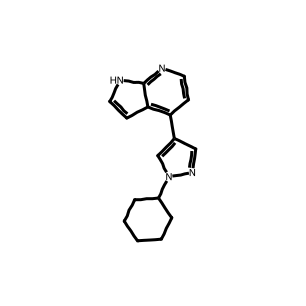 c1cc(-c2cnn(C3CCCCC3)c2)c2cc[nH]c2n1